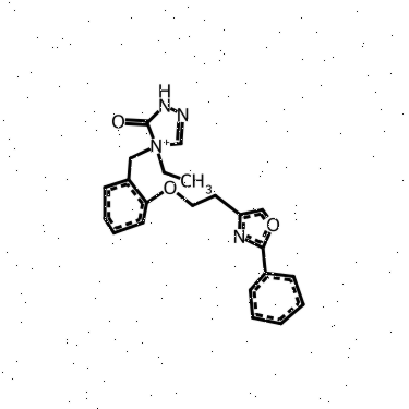 CC[N+]1(Cc2ccccc2OCCc2coc(-c3ccccc3)n2)C=NNC1=O